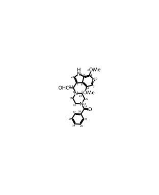 COc1ncc(OC)c2c(C(C=O)N3CCN(C(=O)c4ccccc4)CC3)c[nH]c12